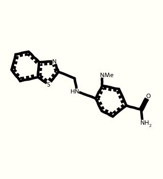 CNc1cc(C(N)=O)ccc1NCc1nc2ccccc2s1